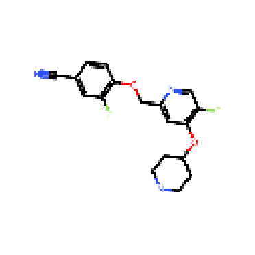 N#Cc1ccc(OCc2cc(OC3CCNCC3)c(F)cn2)c(F)c1